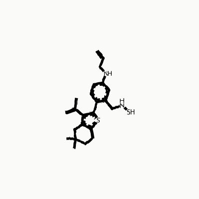 C=CCNc1ccc(-c2sc3c(c2C(=C)C)CC(C)(C)CC3)c(CNS)c1